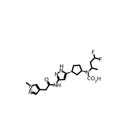 CC(CC(F)F)N(C(=O)O)[C@@H]1CC[C@H](c2cc(NC(=O)Cc3cnn(C)c3)n[nH]2)C1